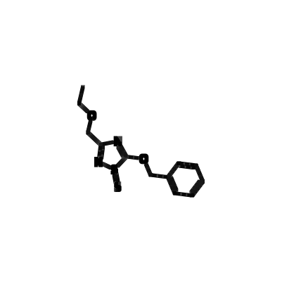 CCOCC1=NS(=S)C(OCc2ccccc2)=N1